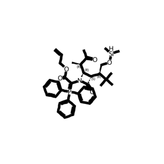 C=CCOC(=O)C(N1C(=O)[C@@H]([C@@H](CO[SiH](C)C)C(C)(C)C)[C@H]1[C@@H](C)C(C)=O)=P(c1ccccc1)(c1ccccc1)c1ccccc1